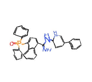 N=C(NC1C=CC(c2ccccc2)=CN1)c1ccc(P(=O)(c2ccccc2)c2ccccc2)c2ccccc12